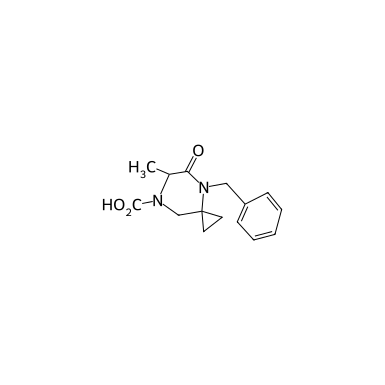 CC1C(=O)N(Cc2ccccc2)C2(CC2)CN1C(=O)O